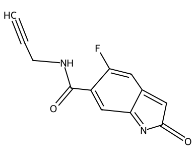 C#CCNC(=O)c1cc2c(cc1F)=CC(=O)N=2